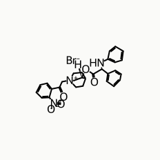 O=C(C[N+]12CCC(CC1)[C@@H](OC(=O)[C@H](Nc1ccccc1)c1ccccc1)C2)c1ccccc1[N+](=O)[O-].[Br-]